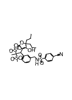 CCCC1(CCC)OC(=O)C(C(c2cccc(CNS(=O)(=O)c3ccc(C#N)cc3)c2)C(C)(S(C)(=O)=O)S(C)(=O)=O)=C1O